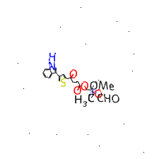 CO/C(COC(=O)CCC(=O)c1cc(-c2c[nH]c3ccccc23)cs1)=C(/C)OC=O